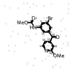 COC(=O)Nc1cc(Br)cc(C(=O)c2ccnc(OC)c2)c1